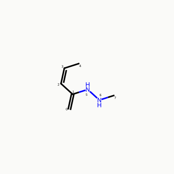 C=C(/C=C\C)NNC